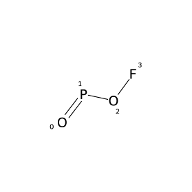 O=POF